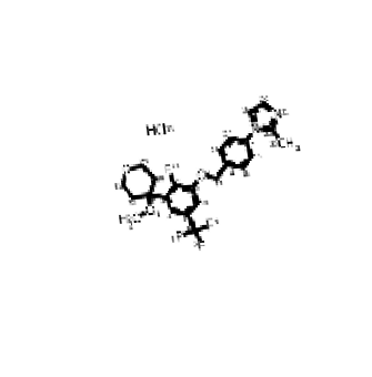 COC1(c2cc(C(F)(F)F)cc(OCc3ccc(-n4ccnc4C)cc3)c2F)CCOCC1.Cl